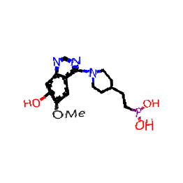 COc1cc2c(N3CCC(CCP(O)O)CC3)ncnc2cc1O